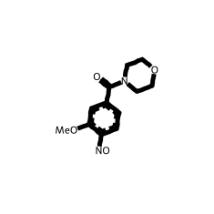 COc1cc(C(=O)N2CCOCC2)ccc1N=O